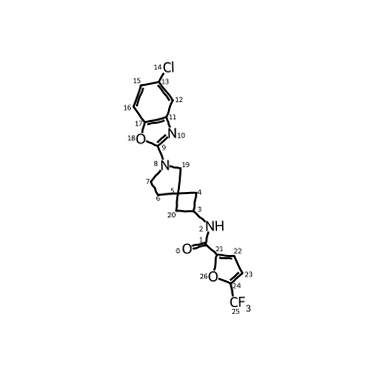 O=C(NC1CC2(CCN(c3nc4cc(Cl)ccc4o3)C2)C1)c1ccc(C(F)(F)F)o1